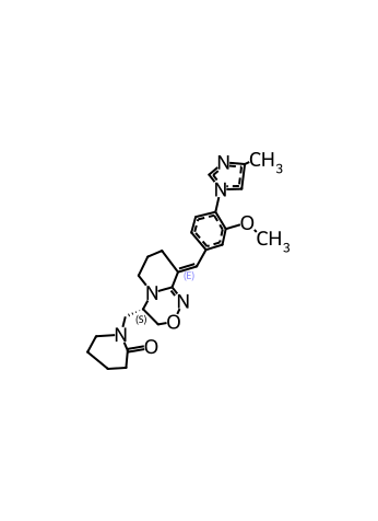 COc1cc(/C=C2\CCCN3C2=NOC[C@@H]3CN2CCCCC2=O)ccc1-n1cnc(C)c1